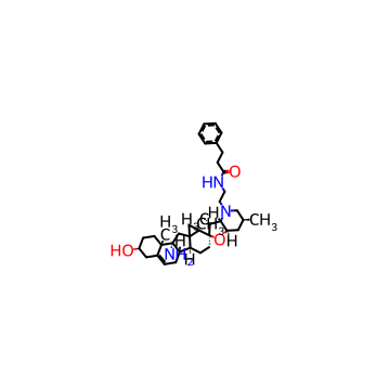 C[C@H]1C[C@H]2O[C@]3(CC[C@H]4[C@@H]5CC=C6C[C@@H](O)CC[C@]6(C)[C@@]5(N)CC45CC53C)[C@H](C)[C@@H]2N(CCNC(=O)CCc2ccccc2)C1